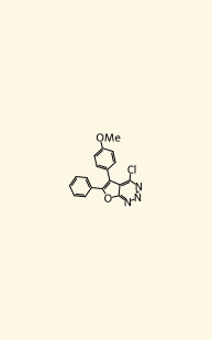 COc1ccc(-c2c(-c3ccccc3)oc3nnnc(Cl)c23)cc1